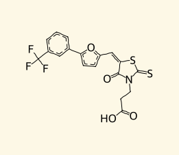 O=C(O)CCN1C(=O)/C(=C\c2ccc(-c3cccc(C(F)(F)F)c3)o2)SC1=S